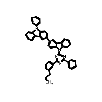 C=CCc1cccc(-c2nc(-c3ccccc3)nc(-n3c4ccccc4c4cc(-c5ccc6c(c5)c5ccccc5n6-c5ccccc5)ccc43)n2)c1